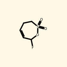 O=S1(=O)CCC=CC(F)O1